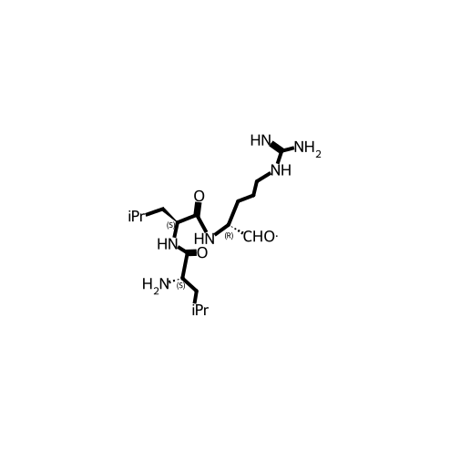 CC(C)C[C@H](NC(=O)[C@@H](N)CC(C)C)C(=O)N[C@@H]([C]=O)CCCNC(=N)N